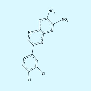 O=[N+]([O-])c1cc2ncc(-c3ccc(Cl)c(Cl)c3)nc2cc1[N+](=O)[O-]